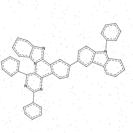 c1ccc(-c2nc(-c3ccccc3)c3c(n2)c2ccc(-c4ccc5c(c4)c4ccccc4n5-c4ccccc4)cc2c2nc4ccccc4n23)cc1